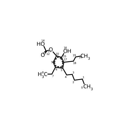 CCCCCc1c(CC)cc(OC(=O)O)c(O)c1CCC